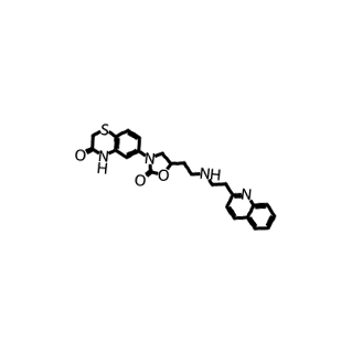 O=C1CSc2ccc(N3CC(CCNCCc4ccc5ccccc5n4)OC3=O)cc2N1